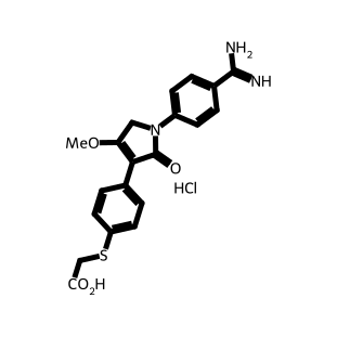 COC1=C(c2ccc(SCC(=O)O)cc2)C(=O)N(c2ccc(C(=N)N)cc2)C1.Cl